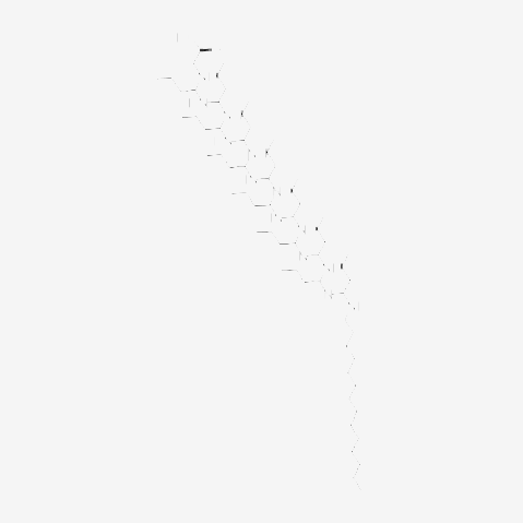 CCCCCCCCCCCCCCNC(CCC)NC(CCC)NC(CCC)NC(CCC)NC(CCC)NC(CCC)NC(CCC)NC(CCC)NC(CCC)NC(CCC)NC(CCC)NC(CCC)NCC(=O)O